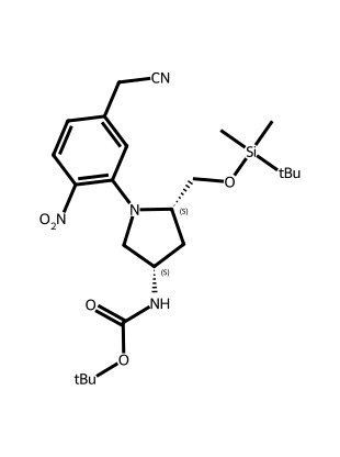 CC(C)(C)OC(=O)N[C@H]1C[C@@H](CO[Si](C)(C)C(C)(C)C)N(c2cc(CC#N)ccc2[N+](=O)[O-])C1